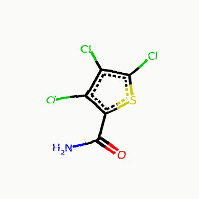 NC(=O)c1sc(Cl)c(Cl)c1Cl